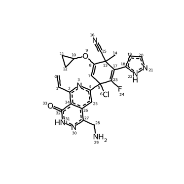 C=Cc1nc(C2(Cl)C=C(OC3CC3)C(C)(C#N)C(c3ccn[nH]3)=C2F)cc2c(CN)n[nH]c(=O)c12